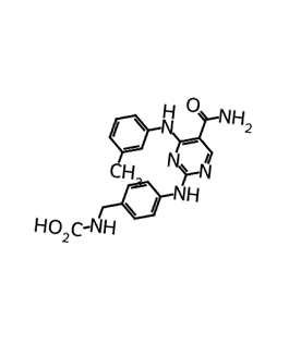 Cc1cccc(Nc2nc(Nc3ccc(CNC(=O)O)cc3)ncc2C(N)=O)c1